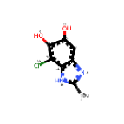 CC(C)(C)c1nc2cc(O)c(O)c(Cl)c2[nH]1